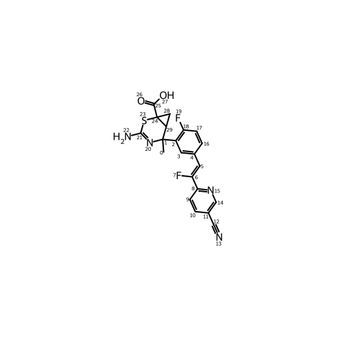 CC1(c2cc(C=C(F)c3ccc(C#N)cn3)ccc2F)N=C(N)SC2(C(=O)O)CC21